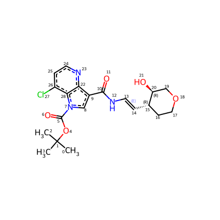 CC(C)(C)OC(=O)n1cc(C(=O)N/C=C/[C@H]2CCOC[C@@H]2O)c2nccc(Cl)c21